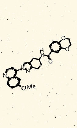 COc1ccc2nccc(-n3cc4c(n3)CCC(NC(=O)c3ccc5c(c3)OCCO5)C4)c2c1